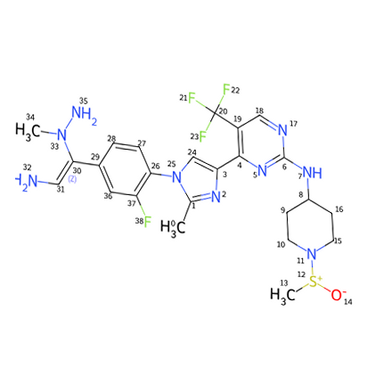 Cc1nc(-c2nc(NC3CCN([S+](C)[O-])CC3)ncc2C(F)(F)F)cn1-c1ccc(/C(=C/N)N(C)N)cc1F